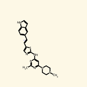 Cc1nc(Nc2ncc(/C=C/c3ccc4[nH]ccc4c3)s2)cc(N2CCN(C)CC2)n1